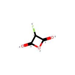 O=C1OC(=O)C1F